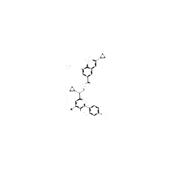 COc1cc(C(=O)NCC(c2cc(C(C)(C)O)c(C#N)c(-c3ccc(P)cc3)n2)C2CC2)cc2cc(C3CC3)nnc12